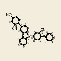 N#Cc1ccc(-c2ccc3c(c2)c2ccccc2n3-c2ccc(-c3ccncc3)c(C#N)c2)c(C#N)c1